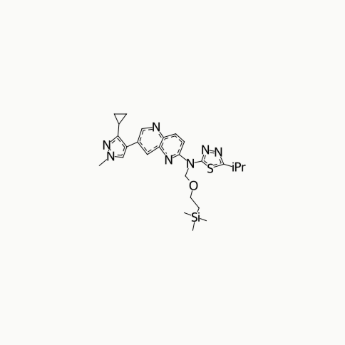 CC(C)c1nnc(N(COCC[Si](C)(C)C)c2ccc3ncc(-c4cn(C)nc4C4CC4)cc3n2)s1